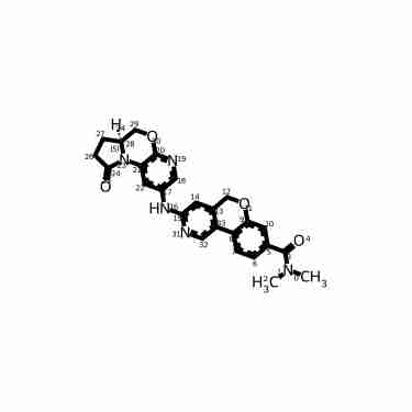 CN(C)C(=O)c1ccc2c(c1)OCc1cc(Nc3cnc4c(c3)N3C(=O)CC[C@H]3CO4)ncc1-2